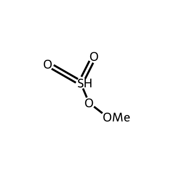 COO[SH](=O)=O